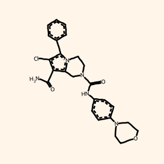 NC(=O)c1c(Cl)c(-c2ccccc2)n2c1CN(C(=O)Nc1ccc(N3CCOCC3)cc1)CC2